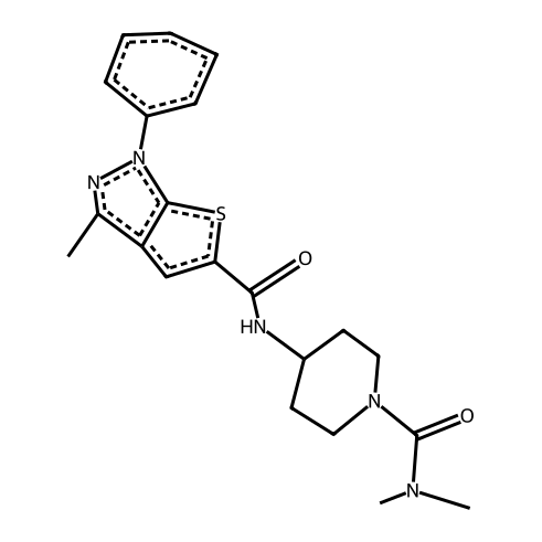 Cc1nn(-c2ccccc2)c2sc(C(=O)NC3CCN(C(=O)N(C)C)CC3)cc12